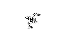 CCC1=NN(CCOC)C2C(NC3=CCCC=N3)=NC(N(C)CCO)=NC12